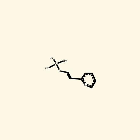 CC(C)[Si](OC=Cc1ccccn1)(C(C)C)C(C)C